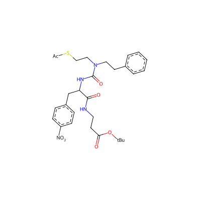 CC(=O)SCCN(CCc1ccccc1)C(=O)NC(Cc1ccc([N+](=O)[O-])cc1)C(=O)NCCC(=O)OC(C)(C)C